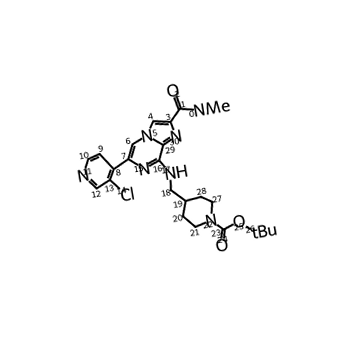 CNC(=O)c1cn2cc(-c3ccncc3Cl)nc(NCC3CCN(C(=O)OC(C)(C)C)CC3)c2n1